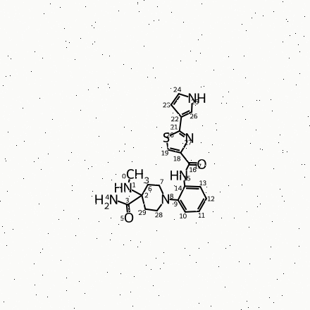 CNC1(C(N)=O)CCN(c2ccccc2NC(=O)c2csc(-c3cc[nH]c3)n2)CC1